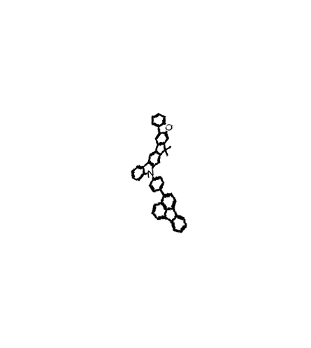 CC1(C)c2cc3oc4ccccc4c3cc2-c2cc3c4ccccc4n(-c4ccc(-c5ccc6c7c(cccc57)-c5ccccc5-6)cc4)c3cc21